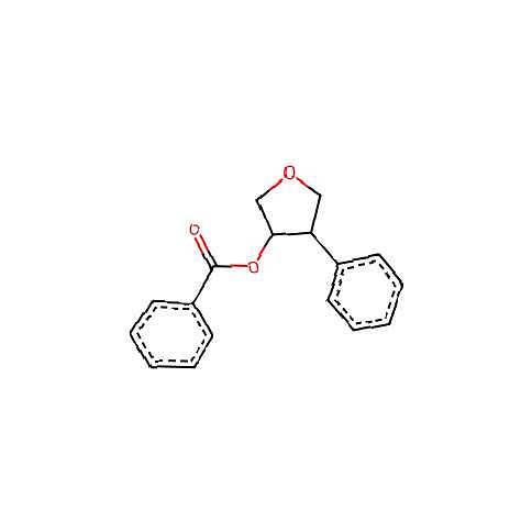 O=C(OC1COCC1c1ccccc1)c1ccccc1